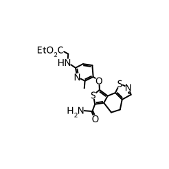 CCOC(=O)CNc1ccc(Oc2sc(C(N)=O)c3c2-c2sncc2CC3)c(C)n1